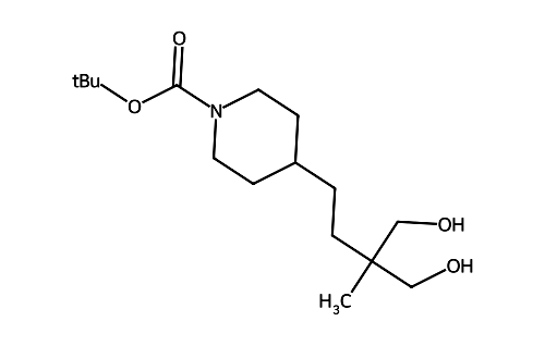 CC(CO)(CO)CCC1CCN(C(=O)OC(C)(C)C)CC1